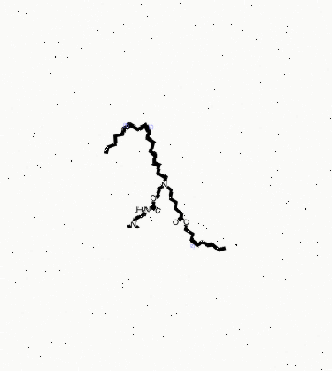 CCCCC/C=C\C/C=C\CCCCCCCCN(CCCCCC(=O)OCC/C=C\CCCCC)CCOC(=O)NCCN(C)C